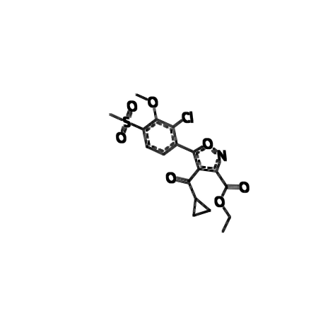 CCOC(=O)c1noc(-c2ccc(S(C)(=O)=O)c(OC)c2Cl)c1C(=O)C1CC1